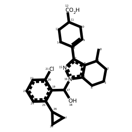 CC1CCCc2c1c(C1=CCC(C(=O)O)CC1)nn2C(O)c1c(Cl)cccc1C1CC1